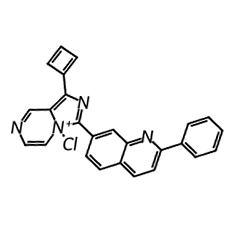 Cl[N+]12C=CN=CC1=C(C1=CC=C1)N=C2c1ccc2ccc(-c3ccccc3)nc2c1